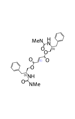 CNC(=O)N[C@H](COC(=O)/C=C/C(=O)OC[C@H](Cc1ccccc1)NC(=O)NC)Cc1ccccc1